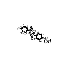 Cc1ccc(P2(=S)SP(=S)(c3ccc(CO)cc3)S2)cc1